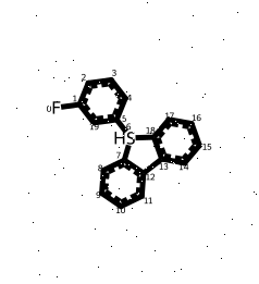 Fc1cccc([SH]2c3ccccc3-c3ccccc32)c1